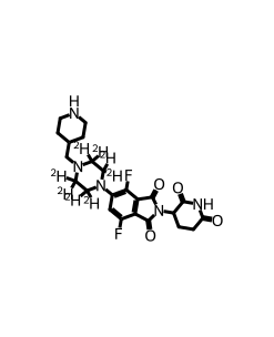 [2H]C1([2H])N(CC2CCNCC2)C([2H])([2H])C([2H])([2H])N(c2cc(F)c3c(c2F)C(=O)N(C2CCC(=O)NC2=O)C3=O)C1([2H])[2H]